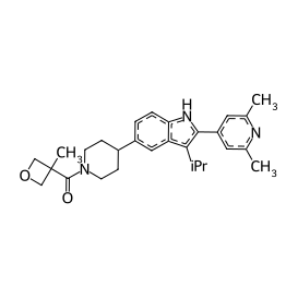 Cc1cc(-c2[nH]c3ccc(C4CCN(C(=O)C5(C)COC5)CC4)cc3c2C(C)C)cc(C)n1